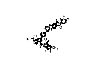 CCCc1cc(C)[nH]c(=O)c1CNC(=O)c1cc(-c2ccc(N3CCN(Cc4cc5c(cc4F)C(=O)N(C4CCC(=O)NC4=O)C5=O)CC3)nc2)cc2c1cnn2C(C)C